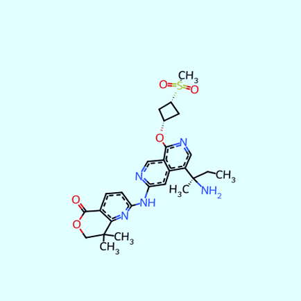 CC[C@@](C)(N)c1cnc(O[C@H]2C[C@@H](S(C)(=O)=O)C2)c2cnc(Nc3ccc4c(n3)C(C)(C)COC4=O)cc12